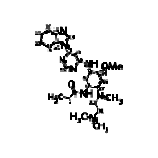 C=CC(=O)Nc1cc(Nc2cc(-n3cnc4ccccc43)ncn2)c(OC)cc1N(C)CCN(C)C